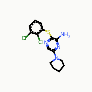 Nc1nc(N2CCCCC2)cnc1Sc1cccc(Cl)c1Cl